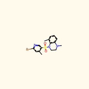 Cc1cc(Br)ncc1S(=O)(=O)N1CCN(C)c2cccc(C)c21